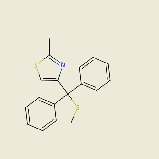 CSC(c1ccccc1)(c1ccccc1)c1csc(C)n1